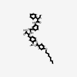 CCCCCCCOC1=CCC(C(=O)Oc2ccc(CC(NC(=O)c3cccc(NC(=O)C(CC)c4ccccc4)c3)C(=O)O)cc2OC)C=C1